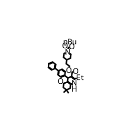 CCCCOC(=O)N1CCC(CCOC(=O)C2=C(CC)NC3=C(C(=O)CC(C)(C)C3)C2c2ccc(-c3ccccc3)cc2)CC1